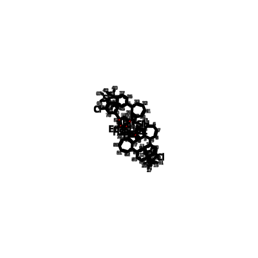 CCC1=CC2=C(C=CC=CC2c2ccc([Si](C)(C)C)c(Cl)c2)[C]12[SiH](C)[C]1(C(CC)=CC3=C1C=CC=CC3c1ccc([Si](C)(C)C)c(Cl)c1)[Hf]21([Cl])([Cl])[C]2(C(CC)=CC3=C2C=CC=CC3c2ccc([Si](C)(C)C)c(Cl)c2)[SiH](C)[C]12C(CC)=CC1=C2C=CC=CC1c1ccc([Si](C)(C)C)c(Cl)c1